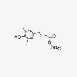 CCCCCCCCOC(=O)CCCc1cc(C)c(O)c(C)c1